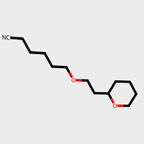 N#CCCCCCOCCC1CCCCO1